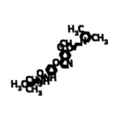 COc1cc2c(Oc3ccc(NC(=O)NCCC(C)(C)C)cc3)ccnc2cc1OCCCN1CC(C)CC(C)C1